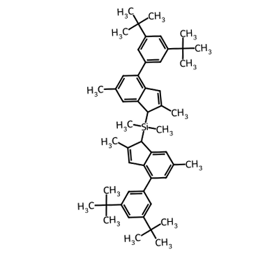 CC1=Cc2c(-c3cc(C(C)(C)C)cc(C(C)(C)C)c3)cc(C)cc2C1[Si](C)(C)C1C(C)=Cc2c(-c3cc(C(C)(C)C)cc(C(C)(C)C)c3)cc(C)cc21